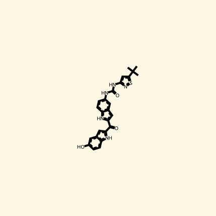 CC(C)(C)c1cc(NC(=O)Nc2ccc3[nH]c(C(=O)c4cc5cc(O)ccc5[nH]4)cc3c2)ns1